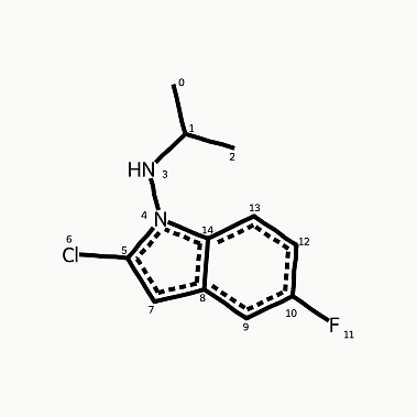 CC(C)Nn1c(Cl)cc2cc(F)ccc21